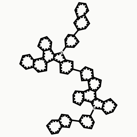 c1cc(-c2ccc3ccccc3c2)cc(-n2c3ccccc3c3c4ccc5ccc(-c6ccc7c8c9ccc%10ccccc%10c9c9ccccc9c8n(-c8ccc(-c9ccc%10ccccc%10c9)cc8)c7c6)cc5c4c4ccccc4c32)c1